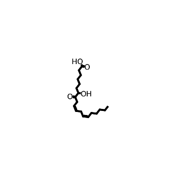 CCCCC/C=C\C/C=C\CC(=O)C(O)CCCCCC(=O)O